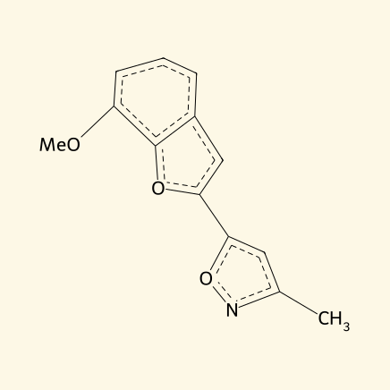 COc1cccc2cc(-c3cc(C)no3)oc12